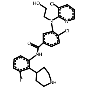 O=C(Nc1cccc(F)c1C1CCNCC1)c1ccc(Cl)c(N(CCO)c2ncccc2Cl)c1